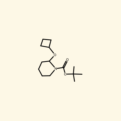 CC(C)(C)OC(=O)N1CCCCC1OC1CCC1